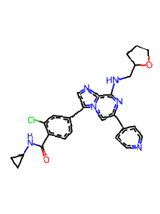 O=C(NC1CC1)c1ccc(-c2cnc3c(NCC4CCCO4)nc(-c4ccncc4)cn23)cc1Cl